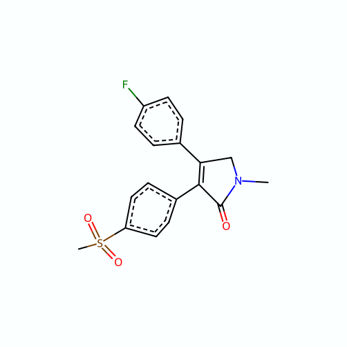 CN1CC(c2ccc(F)cc2)=C(c2ccc(S(C)(=O)=O)cc2)C1=O